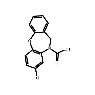 O=C(O)N1Cc2ccccc2Oc2ccc(Cl)cc21